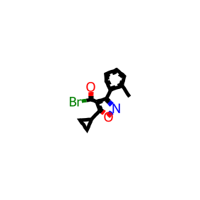 Cc1ccccc1-c1noc(C2CC2)c1C(=O)Br